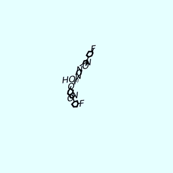 O[C@H](COc1ccc2oc(-c3cccc(F)c3)nc2c1)CN1CCN(Cc2cc(-c3ccc(F)cc3)no2)CC1